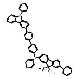 CC1(C)c2cc(-c3ccccc3)ccc2-c2ccc(N(C3=CCCC=C3)c3ccc(-c4ccc(-c5ccc6c(c5)c5ccccc5n6-c5ccccc5)cc4)cc3)cc21